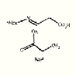 CCC(=O)O.CCCCCCN=CCC(=O)O.[NaH]